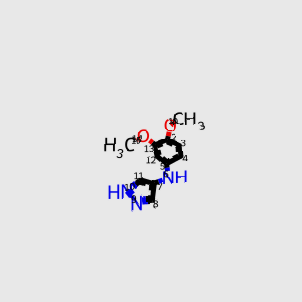 COc1ccc(Nc2cn[nH]c2)cc1OC